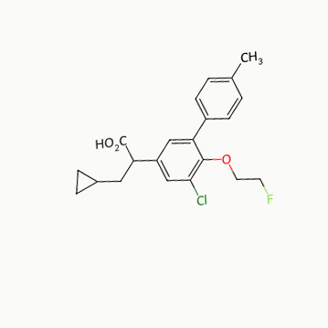 Cc1ccc(-c2cc(C(CC3CC3)C(=O)O)cc(Cl)c2OCCF)cc1